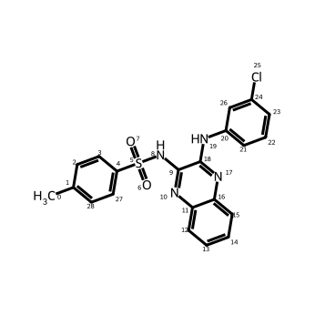 Cc1ccc(S(=O)(=O)Nc2nc3ccccc3nc2Nc2cccc(Cl)c2)cc1